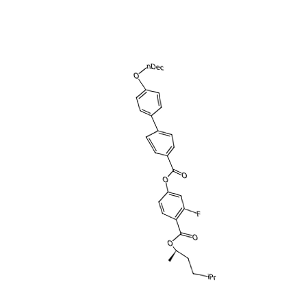 CCCCCCCCCCOc1ccc(-c2ccc(C(=O)Oc3ccc(C(=O)O[C@H](C)CCC(C)C)c(F)c3)cc2)cc1